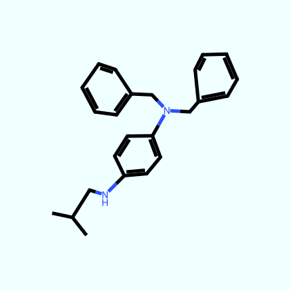 CC(C)CNc1ccc(N(Cc2ccccc2)Cc2ccccc2)cc1